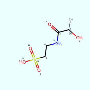 C[C@H](O)C(=O)NCCS(=O)(=O)O